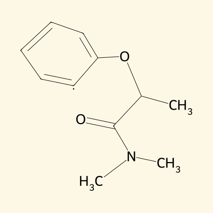 CC(Oc1[c]cccc1)C(=O)N(C)C